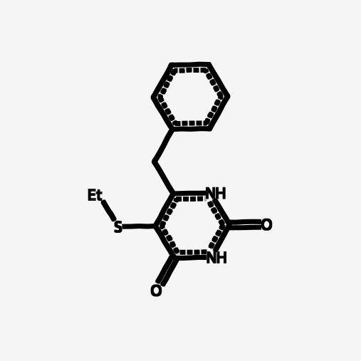 CCSc1c(Cc2ccccc2)[nH]c(=O)[nH]c1=O